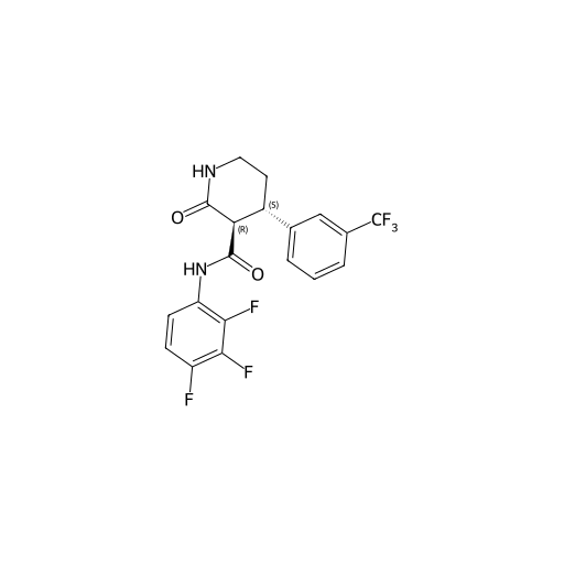 O=C1NCC[C@H](c2cccc(C(F)(F)F)c2)[C@H]1C(=O)Nc1ccc(F)c(F)c1F